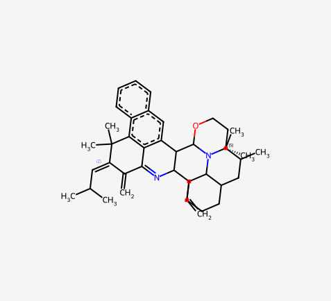 C=CCC1N=C2C(=C)/C(=C\C(C)C)C(C)(C)c3c2c(cc2ccccc32)C1C1OCC[C@H](C)N1C1CCCCC1CC(C)CC